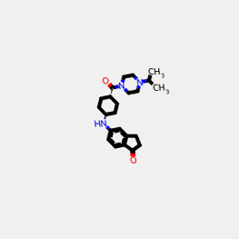 CC(C)N1CCN(C(=O)[C@H]2CC[C@@H](Nc3ccc4c(c3)CCC4=O)CC2)CC1